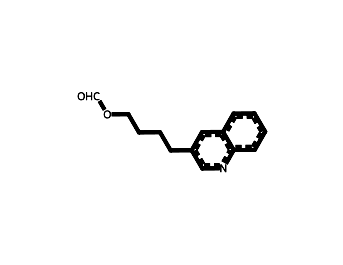 O=COCCCCc1cnc2ccccc2c1